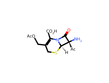 CC(=O)OCC1=C(C(=O)O)N2C(=O)[C@@](N)(C(C)=O)[C@H]2SC1